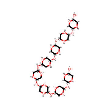 O[C@@H]1CO[C@H](O[C@@H]2CO[C@H](O[C@@H]3CO[C@H](O[C@@H]4CO[C@H](O[C@@H]5CO[C@H](O[C@@H]6CO[C@H](O[C@@H]7CO[C@H](O[C@@H]8CO[C@H](O)CO8)CO7)CO6)CO5)CO4)CO3)CO2)CO1